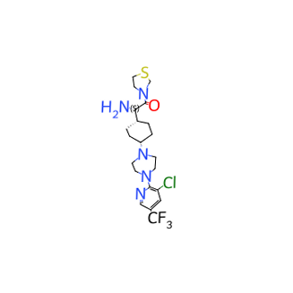 N[C@H](C(=O)N1CCSC1)[C@H]1CC[C@@H](N2CCN(c3ncc(C(F)(F)F)cc3Cl)CC2)CC1